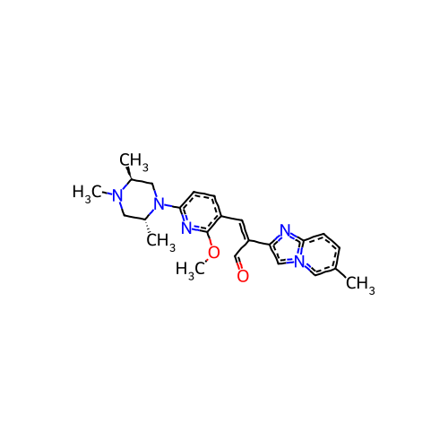 COc1nc(N2C[C@H](C)N(C)C[C@H]2C)ccc1/C=C(\C=O)c1cn2cc(C)ccc2n1